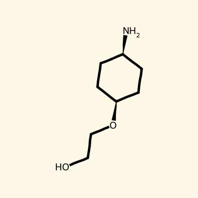 N[C@H]1CC[C@@H](OCCO)CC1